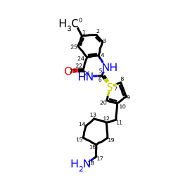 Cc1ccc2[nH]c(=S3C=CC(CC4CCCC(CN)C4)=C3)[nH]c(=O)c2c1